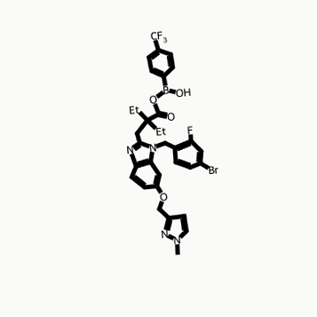 CCC(CC)(Cc1nc2ccc(OCc3ccn(C)n3)cc2n1Cc1ccc(Br)cc1F)C(=O)OB(O)c1ccc(C(F)(F)F)cc1